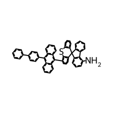 Nc1cccc2c1-c1ccccc1C21c2ccccc2Sc2c(-c3c4ccccc4c(-c4ccc(-c5ccccc5)cc4)c4ccccc34)cccc21